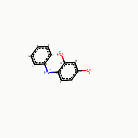 Oc1ccc(Nc2ccccc2)c(O)c1